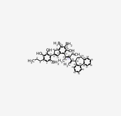 Bc1cc(CCC)c(O)c(O)c1C1=Cc2c(c(B)c(B)c(O)c2/C(C)=C(\CC)C(=C)C2CCc3ccccc3-c3ccccc32)C1